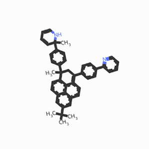 CC(C)(C)c1cc2ccc3c4c(ccc(c1)c24)=C(c1ccc(-c2ccccn2)cc1)CC3(C)c1ccc(C2(C)C=CC=CN2)cc1